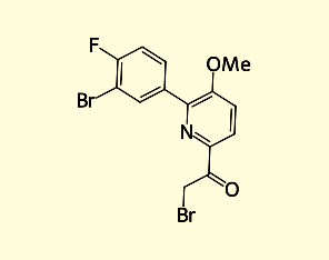 COc1ccc(C(=O)CBr)nc1-c1ccc(F)c(Br)c1